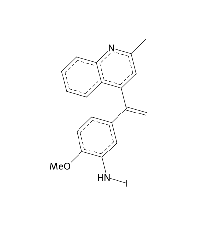 C=C(c1ccc(OC)c(NI)c1)c1cc(C)nc2ccccc12